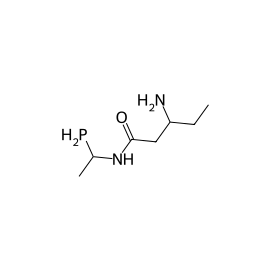 CCC(N)CC(=O)NC(C)P